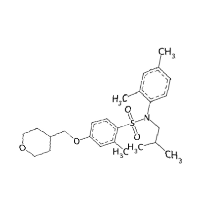 Cc1ccc(N(CC(C)C)S(=O)(=O)c2ccc(OCC3CCOCC3)cc2C)c(C)c1